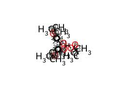 CCC(C)(C)C(=O)OCC(=O)OC(c1ccc(OC(C)(C)C)cc1)c1ccc(OC(C)(C)C)cc1